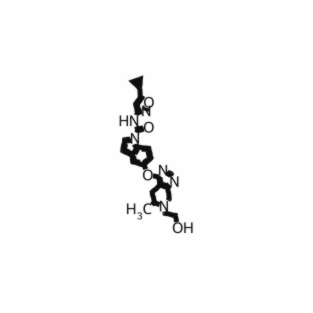 CC1Cc2c(ncnc2Oc2ccc3c(ccn3C(=O)Nc3cc(C4CC4)on3)c2)CN1CCO